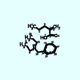 C=C(CCC)C(=O)O.CCN(CC)Cc1ccccc1